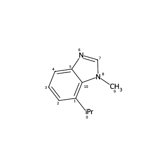 CC(C)c1cccc2ncn(C)c12